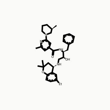 CCc1ccc2c(c1)[C@@H](NC[C@H](O)[C@H](Cc1ccccc1)NC(=O)c1cc(C)nc(N3CCC[C@@H](C)C3)c1)CC(C)(C)O2